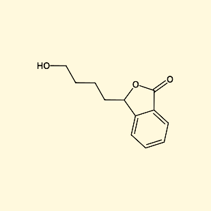 O=C1OC(CCCCO)c2ccccc21